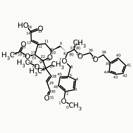 COc1ccc(CO[C@H](C[C@@H]2CC(=CC(=O)O)[C@H](OC(C)=O)[C@](OC)(C(C)(C)C=CC=O)O2)[C@@H](C)OCOCc2ccccc2)cc1